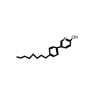 CCCCCCCCc1ccc(-c2ccc(O)nc2)cc1